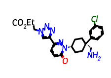 CCOC(=O)Cn1cc(-c2ccc(=O)n([C@H]3CC[C@](CN)(c4cccc(Cl)c4)CC3)n2)nn1